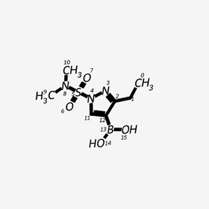 CCc1nn(S(=O)(=O)N(C)C)cc1B(O)O